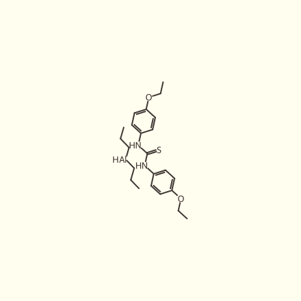 CCOc1ccc(NC(=S)Nc2ccc(OCC)cc2)cc1.CC[CH2][AlH][CH2]CC